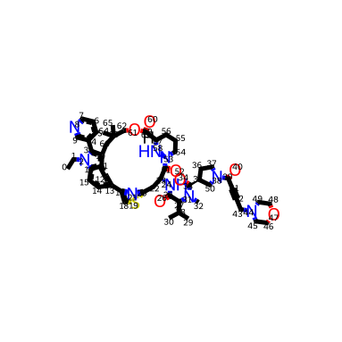 CCn1c(-c2cccnc2)c2c3cc(ccc31)-c1csc(n1)C[C@H](NC(=O)C(C(C)C)N(C)C(=O)[C@H]1CCN(C(=O)C#CCN3CCOCC3)C1)C(=O)N1CCC[C@H](N1)C(=O)OCC(C)(C)C2